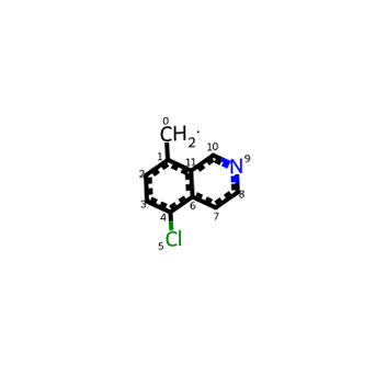 [CH2]c1ccc(Cl)c2ccncc12